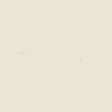 CCCCOc1ccc2c(c1F)Cc1c-2ccc(O)c1F